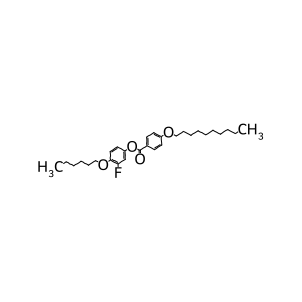 CCCCCCCCCCOc1ccc(C(=O)Oc2ccc(OCCCCCC)c(F)c2)cc1